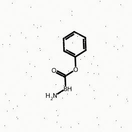 NBC(=O)Oc1ccccc1